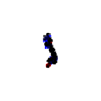 [C-]#[N+]N=C(N[C@H](C(=O)N1CCC[C@H]1c1ncc(-c2ccc(-c3ccc(-c4cnc([C@@H]5CCCN5C(=O)[C@@H](/N=C/OOC)C(C)C)[nH]4)cc3)cc2)[nH]1)C(C)C)N(C)C